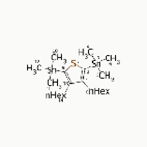 CCCCCCc1[c]([Sn]([CH3])([CH3])[CH3])s[c]([Sn]([CH3])([CH3])[CH3])c1CCCCCC